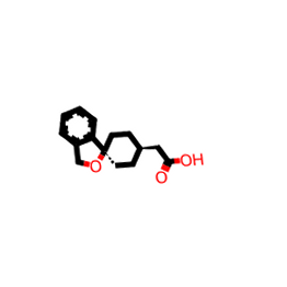 O=C(O)C[C@H]1CC[C@]2(CC1)OCc1ccccc12